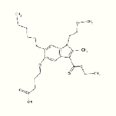 CCCCCCc1cc2c(cc1OCCCC(=O)O)c(C(=O)OCC)c(C)n2CCOC